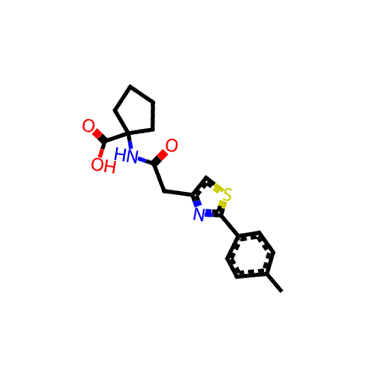 Cc1ccc(-c2nc(CC(=O)NC3(C(=O)O)CCCC3)cs2)cc1